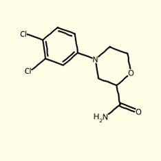 NC(=O)C1CN(c2ccc(Cl)c(Cl)c2)CCO1